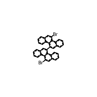 Brc1cc2ccccc2c2c(-c3cc4ccccc4c4c(Br)cc5ccccc5c34)cc3ccccc3c12